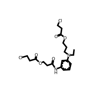 CCN(CCCOC(=O)CCCl)c1cccc(NC(=O)CCOC(=O)CCCl)c1